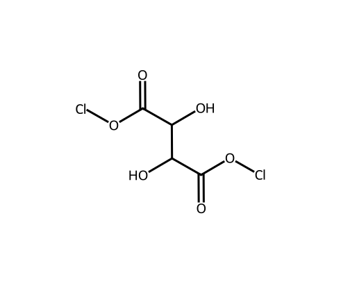 O=C(OCl)C(O)C(O)C(=O)OCl